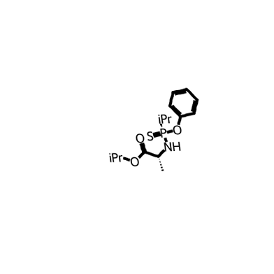 CC(C)OC(=O)[C@@H](C)N[P@@](=S)(Oc1ccccc1)C(C)C